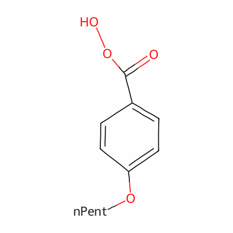 CCCCCOc1ccc(C(=O)OO)cc1